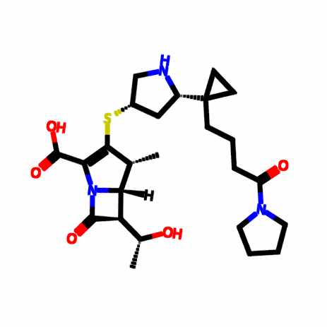 C[C@@H](O)[C@H]1C(=O)N2C(C(=O)O)=C(S[C@@H]3CN[C@H](C4(CCCC(=O)N5CCCC5)CC4)C3)[C@H](C)[C@H]12